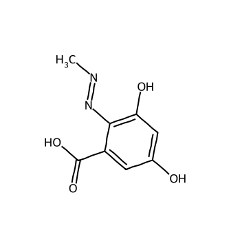 CN=Nc1c(O)cc(O)cc1C(=O)O